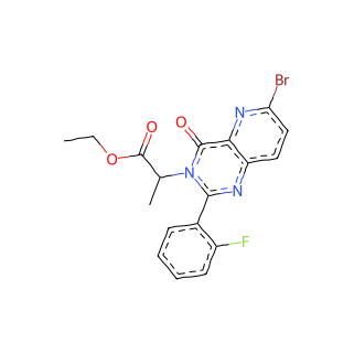 CCOC(=O)C(C)n1c(-c2ccccc2F)nc2ccc(Br)nc2c1=O